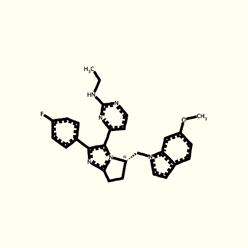 CCNc1nccc(-c2c(-c3ccc(F)cc3)nc3n2[C@H](Cn2ccc4ccc(OC)cc42)CC3)n1